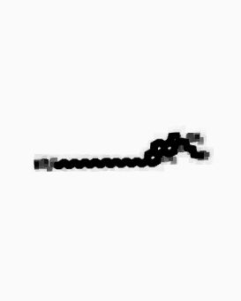 CC(C)CCC[C@@H](C)[C@H]1CCC2C3CC=C4CC(CCCCCCC=CCCCCCCCCCC(=O)O)CC[C@]4(C)C3CC[C@@]21C